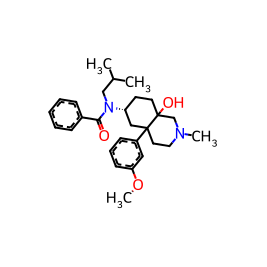 COc1cccc(C23CCN(C)CC2(O)CC[C@@H](N(CC(C)C)C(=O)c2ccccc2)C3)c1